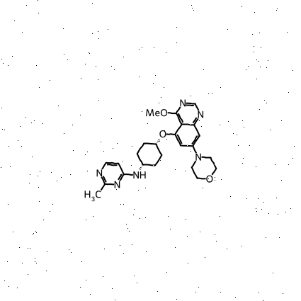 COc1ncnc2cc(N3CCOCC3)cc(O[C@H]3CC[C@@H](Nc4ccnc(C)n4)CC3)c12